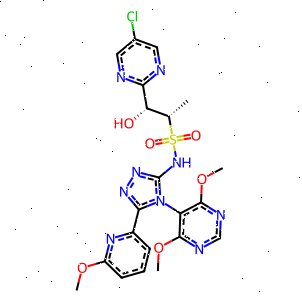 COc1cccc(-c2nnc(NS(=O)(=O)[C@@H](C)[C@H](O)c3ncc(Cl)cn3)n2-c2c(OC)ncnc2OC)n1